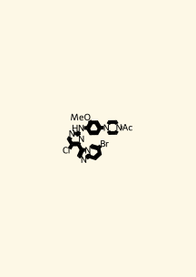 COc1cc(N2CCN(C(C)=O)CC2)ccc1Nc1ncc(Cl)c(-c2cnc3ccc(Br)cn23)n1